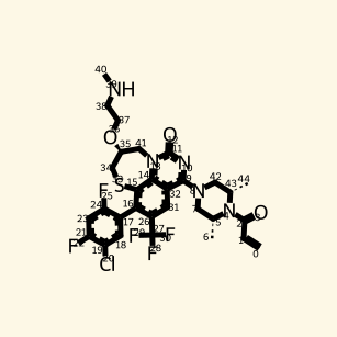 C=CC(=O)N1[C@H](C)CN(c2nc(=O)n3c4c(c(-c5cc(Cl)c(F)cc5F)c(C(F)(F)F)cc24)SC[C@@H](OCCNC)C3)C[C@@H]1C